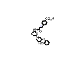 O=C(/C=C/c1ccc(C(=O)O)cc1)Nc1cncc(N2CCCC(OC3=C(O)CCC=C3)C2)n1